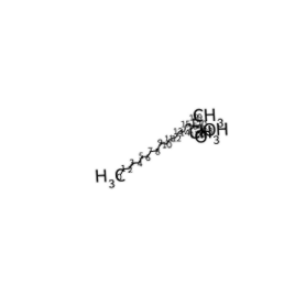 CCCCCCCCCCCCCCCCC(C)(CC)CC(=O)O